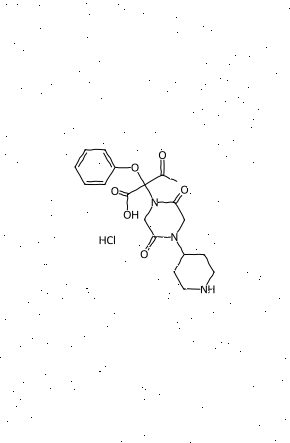 CC(=O)C(Oc1ccccc1)(C(=O)O)N1CC(=O)N(C2CCNCC2)CC1=O.Cl